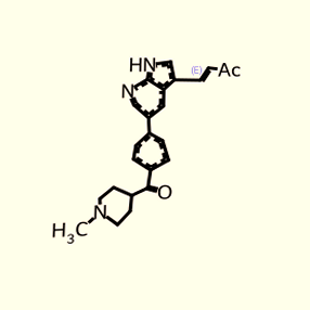 CC(=O)/C=C/c1c[nH]c2ncc(-c3ccc(C(=O)C4CCN(C)CC4)cc3)cc12